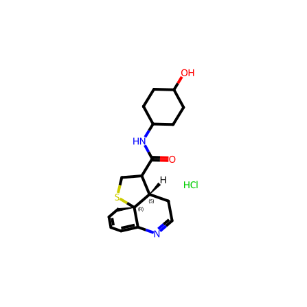 Cl.O=C(NC1CCC(O)CC1)C1CS[C@@]23CC=CC=C2N=CC[C@@H]13